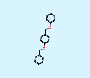 c1ccc(COc2ccc(COc3ccccc3)cc2)cc1